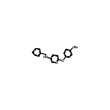 CCCCc1ccc(Oc2ccc(NCc3ccccc3)cn2)cc1